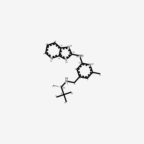 Cc1cc(CN[C@@H](C)C(C)(C)C)cc(Nc2nc3cccnc3s2)n1